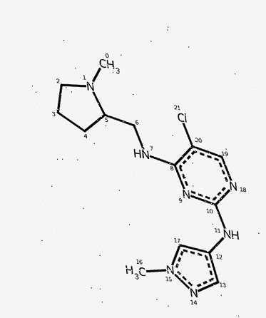 CN1CCCC1CNc1nc(Nc2cnn(C)c2)ncc1Cl